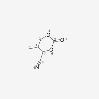 CC1COC(=O)OC1C#N